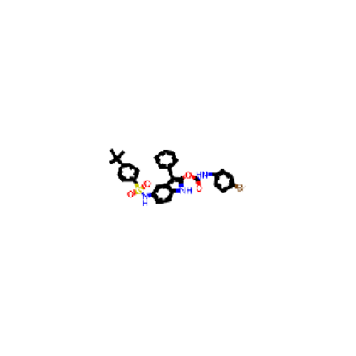 CC(C)(C)c1ccc(S(=O)(=O)Nc2ccc3[nH]c(OC(=O)Nc4ccc(Br)cc4)c(-c4ccccc4)c3c2)cc1